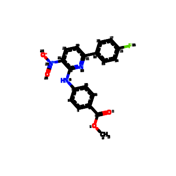 COC(=O)c1ccc(Nc2nc(-c3ccc(F)cc3)ccc2[N+](=O)[O-])cc1